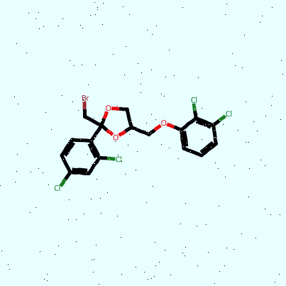 Clc1ccc(C2(CBr)OCC(COc3cccc(Cl)c3Cl)O2)c(Cl)c1